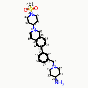 CCS(=O)(=O)N1CCC(N2C=Cc3cc(-c4cccc(CN5CCC(N)CC5)c4)ccc3C2)CC1